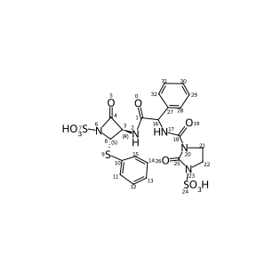 O=C(N[C@@H]1C(=O)N(S(=O)(=O)O)[C@H]1Sc1ccccc1)C(NC(=O)N1CCN(S(=O)(=O)O)C1=O)c1ccccc1